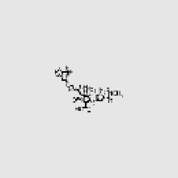 C[C@@H](NCOCCn1nnnc1C(F)(F)F)[C@H]1C(=O)N2C(C(=O)O)=C(S[C@@H]3CN[C@H](C(=O)N(C)C)C3)[C@H](C)[C@H]12